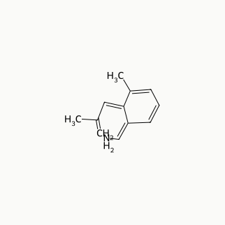 C=C(C)/C=c1/c(C)ccc/c1=C/N